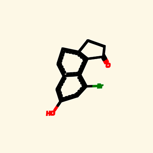 O=C1CCc2ccc3cc(O)cc(Br)c3c21